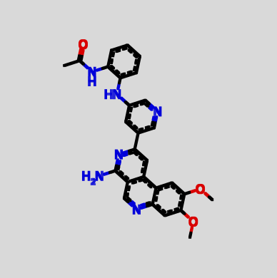 COc1cc2ncc3c(N)nc(-c4cncc(Nc5ccccc5NC(C)=O)c4)cc3c2cc1OC